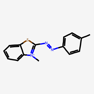 Cc1ccc(/N=N/c2sc3ccccc3[n+]2C)cc1